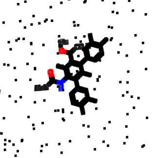 CNC(=O)Nc1c(C)c(C(OC(C)(C)C)C(=O)O)c(-c2ccc(C)c(C)c2)c(C)c1-c1ccc(C)c(C)c1